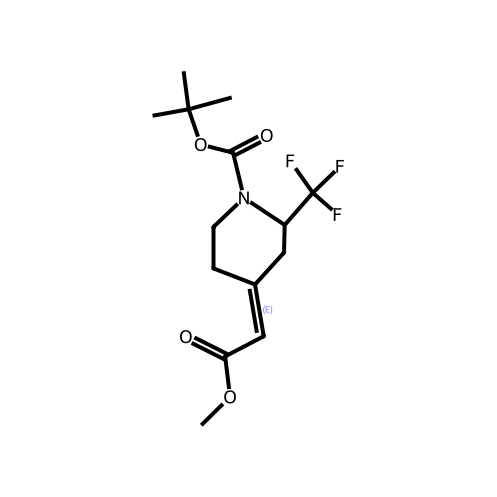 COC(=O)/C=C1\CCN(C(=O)OC(C)(C)C)C(C(F)(F)F)C1